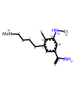 C=C(N)c1cc(CCCCNC)c(C)c(NCC)c1